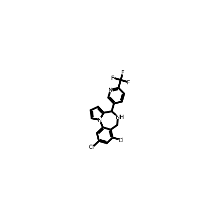 FC(F)(F)c1ccc(C2NCc3c(Cl)cc(Cl)cc3-n3cccc32)cn1